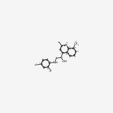 Cc1cc(C(O)CNc2ccc(F)cc2F)c2cccc(C(F)(F)F)c2n1